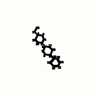 CC[C@H]1CC[C@H](C2CCC(c3ccccc3)CC2)CC1